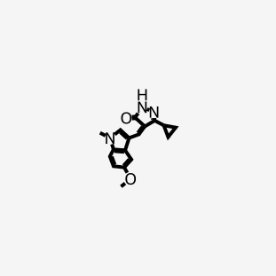 COc1ccc2c(c1)c(C=C1C(=O)NN=C1C1CC1)cn2C